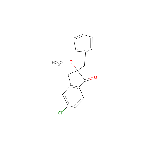 O=C(O)OC1(Cc2ccccc2)Cc2cc(Cl)ccc2C1=O